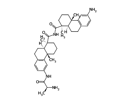 C[C@H](N)C(=O)Nc1ccc2c(c1)[C@@]1(C)CCC[C@](C)(C(=O)NC(=O)[C@@]3(C)CCC[C@]4(C)c5cc(N)ccc5CC[C@@H]34)[C@@H]1CC2